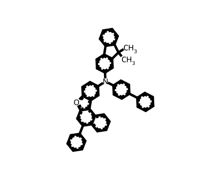 CC1(C)c2ccccc2-c2ccc(N(c3ccc(-c4ccccc4)cc3)c3ccc4oc5cc(-c6ccccc6)c6ccccc6c5c4c3)cc21